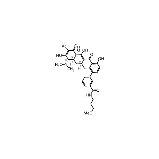 COCCCNC(=O)c1cccc(-c2ccc(O)c3c2C[C@H]2C[C@H]4[C@H](N(C)C)C(O)=C(C(C)=O)C(=O)[C@@]4(O)C(O)=C2C3=O)c1